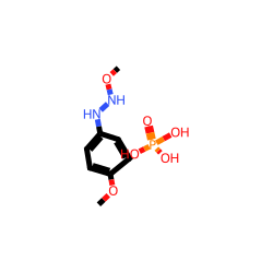 CONNc1ccc(OC)cc1.O=P(O)(O)O